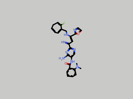 CN(C)c1ccccc1C(=O)Nc1cnc(C(=N)/C=C(\NCC2=CC=CCC=C2F)c2ncco2)nc1N